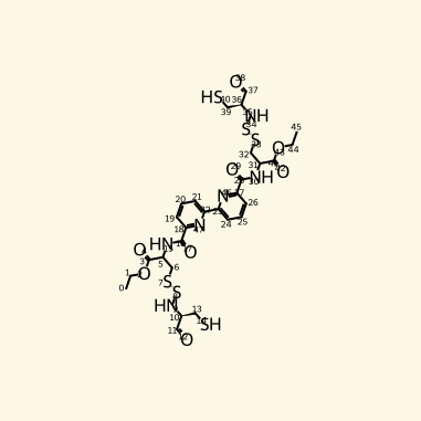 CCOC(=O)C(CSSN[C@H](C=O)CS)NC(=O)c1cccc(-c2cccc(C(=O)NC(CSSN[C@H](C=O)CS)C(=O)OCC)n2)n1